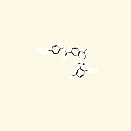 COc1ccc(Cl)cc1S(=O)(=O)N1CC(C)c2ccc(C(=O)Nc3ccc(C(=O)O)cc3)cc21